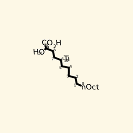 CCCCCCCCCCCCCCCCC(O)C(=O)O.[Ti]